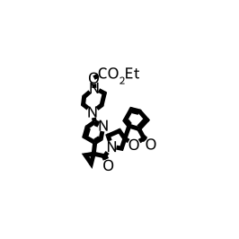 CCOC(=O)ON1CCN(c2ccc(C3(C(=O)N4CCC5(C4)OC(=O)c4ccccc45)CC3)cn2)CC1